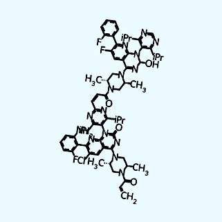 C=CC(=O)N1C[C@H](C)N(c2nc(=O)n(-c3c(C(C)C)nc(/C=C\C(=O)N4C[C@H](C)N(C5=NC(O)N(c6c(C(C)C)ncnc6C(C)C)c6nc(-c7ccccc7F)c(F)cc65)C[C@H]4C)nc3C(C)C)c3nc(-c4c(N)cccc4F)c(Cl)cc23)C[C@H]1C